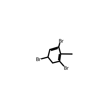 CC1=C(Br)CC(Br)C=C1Br